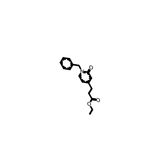 CCOC(=O)CCc1ccn(Cc2ccccc2)c(=O)c1